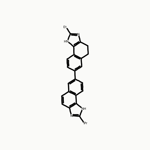 CCc1nc2c([nH]1)-c1ccc(-c3ccc4c(ccc5nc(C(C)C)[nH]c54)c3)cc1CC2